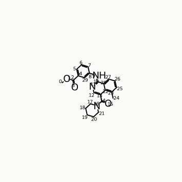 COC(=O)c1cccc(Nc2ncc(C(=O)N3CCCCC3)c3c(C)cccc23)c1